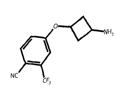 N#Cc1ccc(OC2CC(N)C2)cc1C(F)(F)F